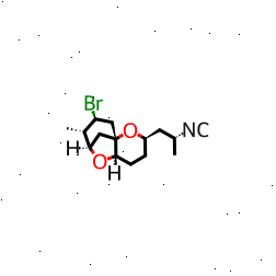 [C-]#[N+][C@H](C)C[C@H]1CC[C@@H]2O[C@@H]3C[C@]2(C[C@H](Br)[C@H]3C)O1